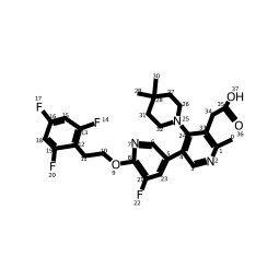 Cc1ncc(-c2cnc(OCCc3c(F)cc(F)cc3F)c(F)c2)c(N2CCC(C)(C)CC2)c1CC(=O)O